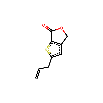 C=CCc1cc2c(s1)C(=O)OC2